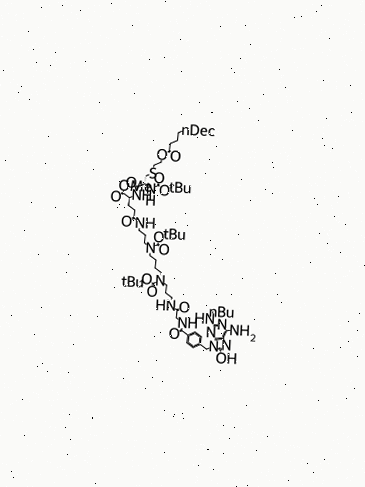 CCCCCCCCCCCCCC(=O)OCCSC[C@H](NC(=O)OC(C)(C)C)C(=O)N[C@@H](CCC(=O)NCCCN(CCCCN(CCCNC(=O)CNC(=O)c1ccc(Cn2c(O)nc3c(N)nc(NCCCC)nc32)cc1)C(=O)OC(C)(C)C)C(=O)OC(C)(C)C)C(=O)OC